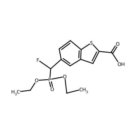 CCOP(=O)(OCC)C(F)c1ccc2sc(C(=O)O)cc2c1